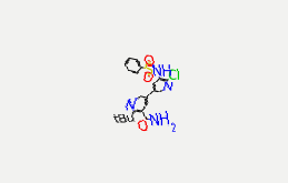 CC(C)(C)c1ncc(-c2cnc(Cl)c(NS(=O)(=O)c3ccccc3)c2)cc1C(N)=O